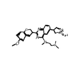 COc1ccc2c(c1)CC(c1nc(N(C)CCN(C)C)c3cc(C4C=NNC4)ccc3n1)CO2